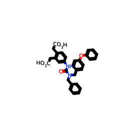 O=C(O)Cc1ccc(NC(=O)N(Cc2ccccc2)Cc2ccc(Oc3ccccc3)cc2)cc1CC(=O)O